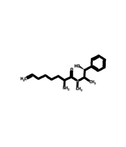 C=CCCCCC(N)C(=O)N(C)C(C)[C@H](O)c1ccccc1